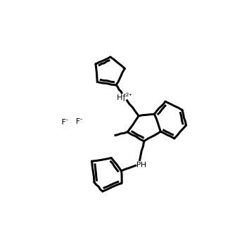 CC1=C(Pc2ccccc2)c2ccccc2[CH]1[Hf+2][C]1=CC=CC1.[F-].[F-]